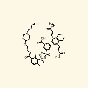 CCc1c(C=CC(=O)O)ccc(C=CC(=O)O)c1CC.Cc1ccc(C(=O)OCCOC2CCC(OCCO)CC2)c(C)c1S(=O)(=O)[N-]S(=O)(=O)c1cccc(C(=O)O)c1.[Na+]